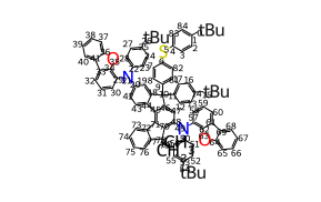 CC(C)(C)c1ccc(Sc2ccc(C3(c4ccc(C(C)(C)C)cc4)c4cc(N(c5ccc(C(C)(C)C)cc5)c5cccc6c5oc5ccccc56)ccc4-c4c3cc(N(c3ccc(C(C)(C)C)cc3)c3cccc5c3oc3ccccc35)c3c4-c4ccccc4C3(C)C)cc2)cc1